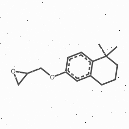 CC1(C)CCCc2cc(OCC3CO3)ccc21